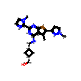 Cc1c(-c2ccn(C(C)C)n2)sc2nc(-c3nccn3C)nc(NC[C@H]3C[C@@H](CO)C3)c12